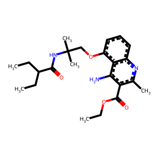 CCOC(=O)c1c(C)nc2cccc(OCC(C)(C)NC(=O)C(CC)CC)c2c1N